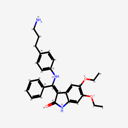 CCOc1cc2c(cc1OCC)C(=C(Nc1ccc(CCCN)cc1)c1ccccc1)C(=O)N2